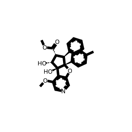 COC(=O)[C@H]1[C@@H](O)[C@@]2(O)c3c(OC)cncc3O[C@@]2(c2ccc(C)cc2)[C@@H]1c1ccccc1